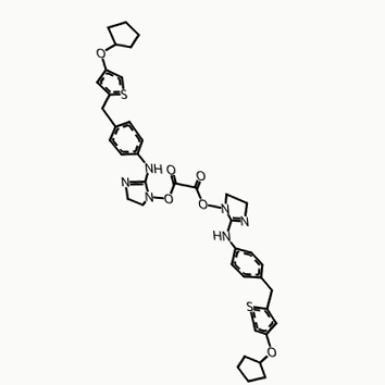 O=C(ON1CCN=C1Nc1ccc(Cc2cc(OC3CCCC3)cs2)cc1)C(=O)ON1CCN=C1Nc1ccc(Cc2cc(OC3CCCC3)cs2)cc1